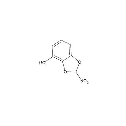 O=[N+]([O-])C1Oc2cccc(O)c2O1